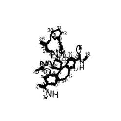 C=C(NC)c1ccc2c(c1)CCc1cc(C(=O)NC)ccc1C2(CCNCC(=C)N1CCCC1C#N)c1nnc(C)o1